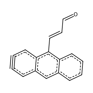 O=C/C=C/c1c2cc#ccc2cc2ccccc12